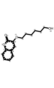 O=c1oc2ccccc2cc1OCCCCCCO